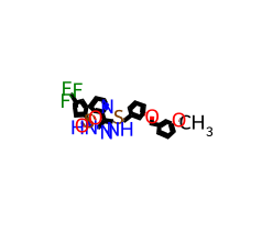 COc1cccc(COc2cccc(CSc3[nH]nc(NS(=O)(=O)c4ccc(C(F)(F)F)cc4)c3-c3ccccn3)c2)c1